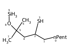 CCCCCCC(S)CC(C)(C)O[SiH3]